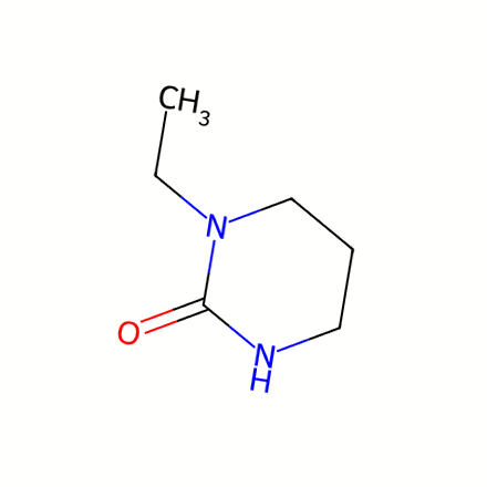 CCN1CCCNC1=O